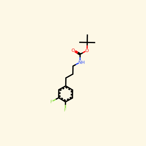 CC(C)(C)OC(=O)NCCCc1ccc(F)c(F)c1